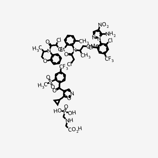 CC1COc2ccccc2N1C(=O)C(Cl)Cl.CCc1cccc(C)c1N(C(=O)CCl)C(C)COC.CS(=O)(=O)c1cc(C(F)(F)F)ccc1C(=O)c1cnoc1C1CC1.Nc1c([N+](=O)[O-])cnn1-c1c(Cl)cc(C(F)(F)F)cc1Cl.O=C(O)CNCP(=O)(O)O